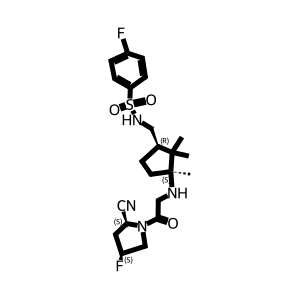 CC1(C)[C@H](CNS(=O)(=O)c2ccc(F)cc2)CC[C@]1(C)NCC(=O)N1C[C@@H](F)C[C@H]1C#N